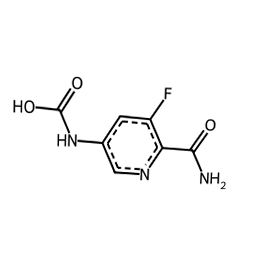 NC(=O)c1ncc(NC(=O)O)cc1F